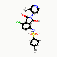 Cc1cnccc1N1C(=O)c2c(Cl)ccc(NS(=O)(=O)c3ccc(C(C)(C)C)cc3)c2C1=O